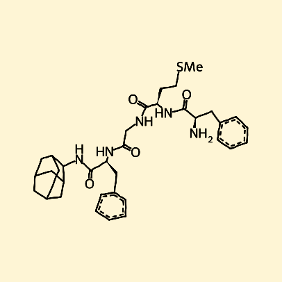 CSCC[C@@H](NC(=O)[C@H](N)Cc1ccccc1)C(=O)NCC(=O)N[C@@H](Cc1ccccc1)C(=O)NC1C2CC3CC(C2)CC1C3